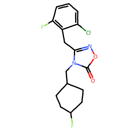 O=c1onc(Cc2c(F)cccc2Cl)n1CC1CCC(F)CC1